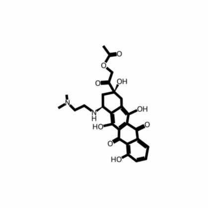 CC(=O)OCC(=O)[C@]1(O)Cc2c(O)c3c(c(O)c2[C@@H](NCCN(C)C)C1)C(=O)c1c(O)cccc1C3=O